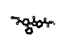 CC(C)(C)OC(=O)N1CC[C@@H](N2Cc3ccc(C(=O)NN)cc3C2=O)[C@@H](c2ccccc2)C1